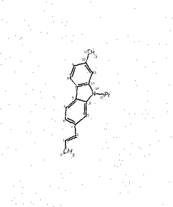 C/C=C/c1ccc2c3ccc(C)cc3n(C(C)C)c2c1